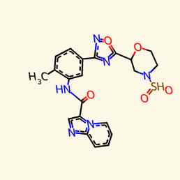 Cc1ccc(-c2noc(C3CN([SH](=O)=O)CCO3)n2)cc1NC(=O)c1cnc2ccccn12